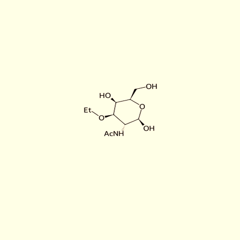 CCO[C@H]1[C@@H](O)[C@@H](CO)O[C@@H](O)[C@@H]1NC(C)=O